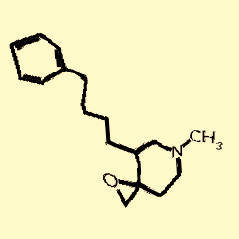 CN1CCC2(CO2)C(CCCCc2ccccc2)C1